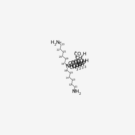 CC(=O)O.CC(=O)O.CC(=O)O.CC(=O)O.CC(=O)O.NCCCCCCNCCCCCCN